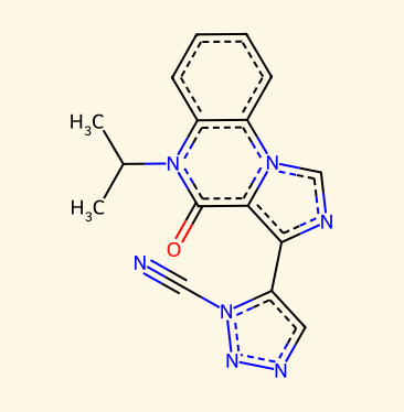 CC(C)n1c(=O)c2c(-c3cnnn3C#N)ncn2c2ccccc21